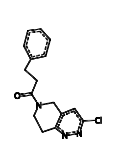 O=C(CCc1ccccc1)N1CCc2nnc(Cl)cc2C1